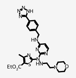 CCOC(=O)c1sc(N(NCCN2CCOCC2)c2nccc(NCc3ccc(-c4nnn[nH]4)cc3)n2)nc1C